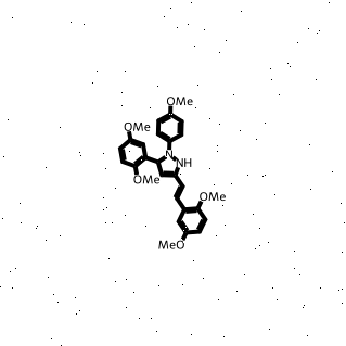 COc1ccc(N2NC(C=Cc3cc(OC)ccc3OC)=CC2c2cc(OC)ccc2OC)cc1